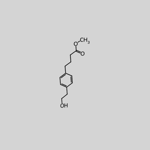 COC(=O)CCCc1ccc(CCO)cc1